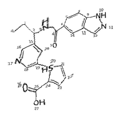 CCC(NC(=O)c1ccc2[nH]ncc2c1)c1cncc([SH]2C=CC=C2C(=O)O)c1